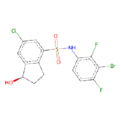 O=S(=O)(Nc1ccc(F)c(Br)c1F)c1cc(Cl)cc2c1CC[C@H]2O